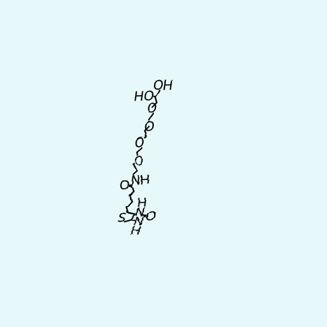 O=C(CCCCC1SCC2NC(=O)NC21)NCCCOCCOCCOCCOCC(O)CO